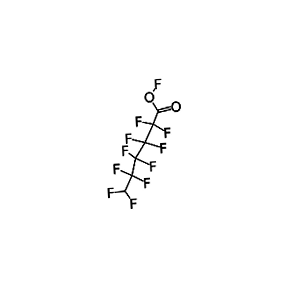 O=C(OF)C(F)(F)C(F)(F)C(F)(F)C(F)(F)C(F)F